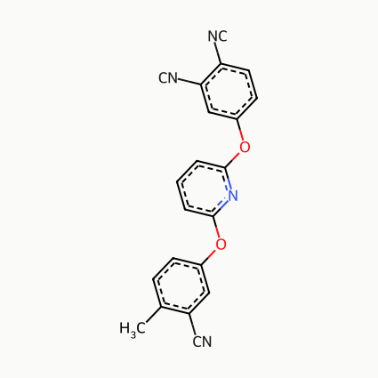 [C-]#[N+]c1ccc(Oc2cccc(Oc3ccc(C)c(C#N)c3)n2)cc1[N+]#[C-]